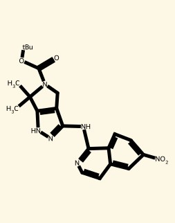 CC(C)(C)OC(=O)N1Cc2c(Nc3nccc4cc([N+](=O)[O-])ccc34)n[nH]c2C1(C)C